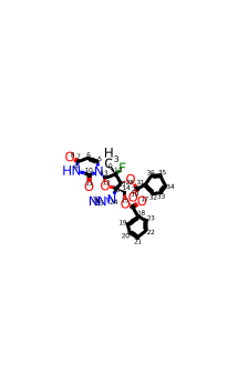 C[C@]1(F)[C@H](n2ccc(=O)[nH]c2=O)O[C@@](COC(=O)c2ccccc2)(N=[N+]=[N-])[C@H]1OC(=O)c1ccccc1